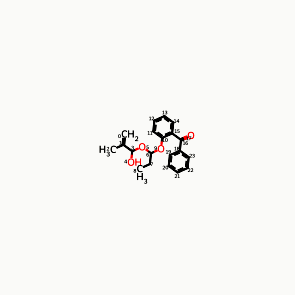 C=C(C)C(O)OC(CC)Oc1ccccc1C(=O)c1ccccc1